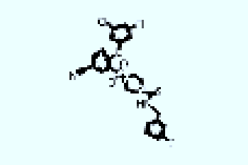 N#Cc1ccc(Oc2cc(Cl)cc(Cl)c2)c(S(=O)(=O)N2CCN(C(=S)NCc3cccc(Cl)c3)CC2)c1